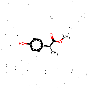 COC(=O)[C@H](C)c1ccc(O)cc1